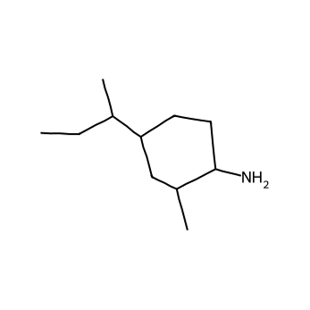 CCC(C)C1CCC(N)C(C)C1